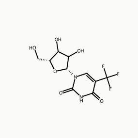 O=c1[nH]c(=O)n([C@@H]2O[C@H](CO)C(O)C2O)cc1C(F)(F)F